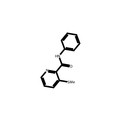 CSc1cccnc1C(=O)Nc1ccccc1